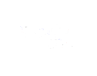 Cc1noc(C)c1-c1ccc(NC2C=CC=C[C@]2(C2CCCCC2)N(CC=O)C(=O)OC(C)(C)C)nc1